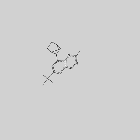 Cc1ncc2cc(C(C)(C)C)cc(C3CC4CCC3C4)c2n1